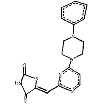 O=C1NC(=O)C(=Cc2nccc(N3CCN(c4ccccc4)CC3)n2)S1